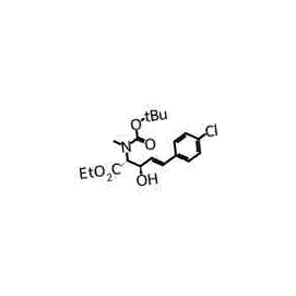 CCOC(=O)[C@@H]([C@H](O)/C=C/c1ccc(Cl)cc1)N(C)C(=O)OC(C)(C)C